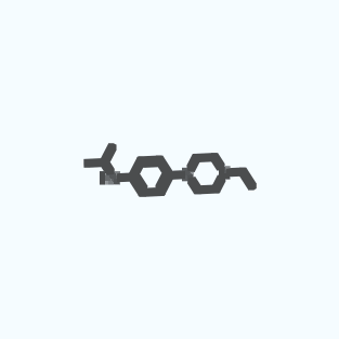 CCN1CCN(c2ccc(NC(C)C)cc2)CC1